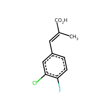 CC(=Cc1ccc(F)c(Cl)c1)C(=O)O